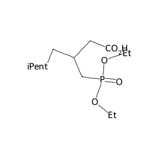 CCCC(C)CC(CC(=O)O)CP(=O)(OCC)OCC